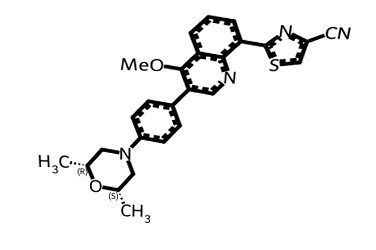 COc1c(-c2ccc(N3C[C@@H](C)O[C@@H](C)C3)cc2)cnc2c(-c3nc(C#N)cs3)cccc12